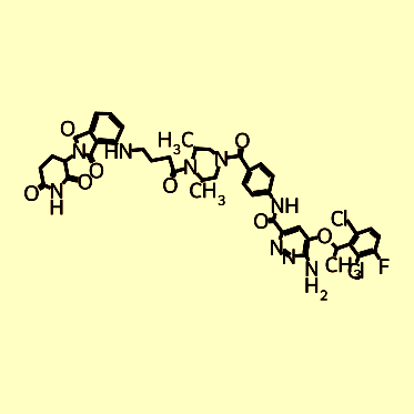 CC(Oc1cc(C(=O)Nc2ccc(C(=O)N3C[C@@H](C)N(C(=O)CCCNc4cccc5c4C(=O)N(C4CCC(=O)NC4=O)C5=O)[C@@H](C)C3)cc2)nnc1N)c1c(Cl)ccc(F)c1Cl